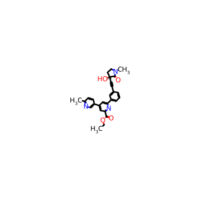 CCOC(=O)c1cc(-c2ccc(C)nc2)cc(-c2cccc(C#C[C@]3(O)CCN(C)C3=O)c2)n1